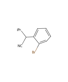 CC(C)C(C#N)c1ccccc1Br